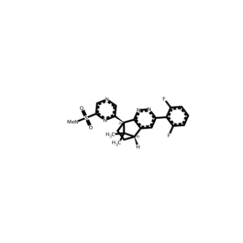 CNS(=O)(=O)c1cncc([C@@]23CC[C@@H](c4cc(-c5c(F)cccc5F)nnc42)C3(C)C)n1